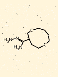 N/N=C(\N)C1CCCCCCCCC1